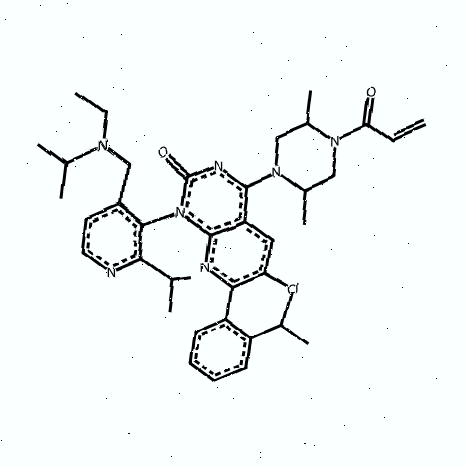 C=CC(=O)N1CC(C)N(c2nc(=O)n(-c3c(CN(CC)C(C)C)ccnc3C(C)C)c3nc(-c4ccccc4C(C)C)c(Cl)cc23)CC1C